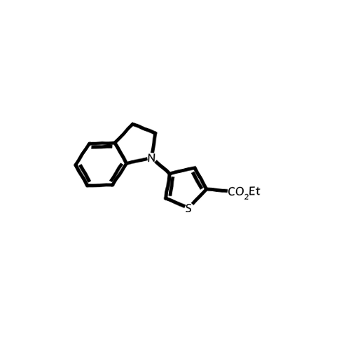 CCOC(=O)c1cc(N2CCc3ccccc32)cs1